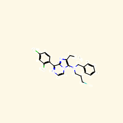 CCc1nc2c(-c3ccc(Cl)cc3Cl)nccn2c1N(CCCF)Cc1ccccc1